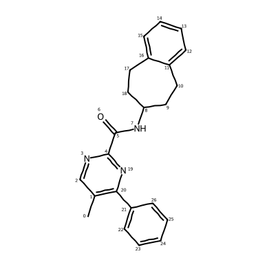 Cc1cnc(C(=O)NC2CCc3ccccc3CC2)nc1-c1ccccc1